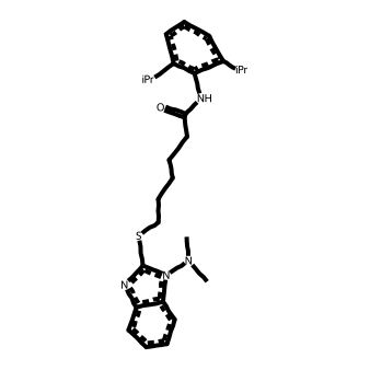 CC(C)c1cccc(C(C)C)c1NC(=O)CCCCCSc1nc2ccccc2n1N(C)C